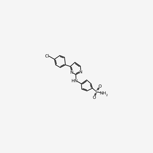 NS(=O)(=O)c1ccc(Nc2nccc(-c3ccc(Cl)cc3)n2)cc1